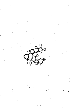 CC(C)(C)N(C(=O)Oc1c(C=C2SC(=O)NC2=O)cccc1C1CCCCC1)C1CCCNC1